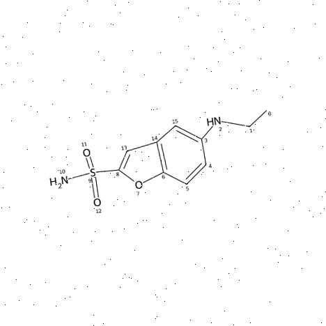 CCNc1ccc2oc(S(N)(=O)=O)cc2c1